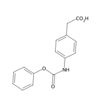 O=C(O)Cc1ccc(NC(=O)Oc2ccccc2)cc1